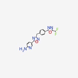 Nc1ccc(-c2nc(Cc3ccc(-c4nnc(C(F)F)o4)cc3)no2)cn1